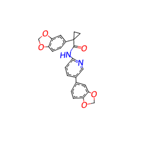 O=C(Nc1ccc(-c2ccc3c(c2)OCO3)cn1)C1(c2ccc3c(c2)OCO3)CC1